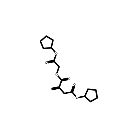 C=C(CC(=O)OC1CCCC1)C(=O)OCC(=O)OC1CCCC1